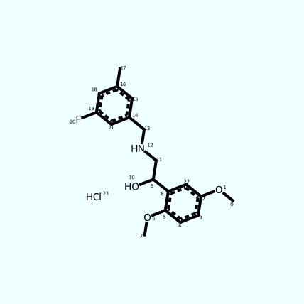 COc1ccc(OC)c(C(O)CNCc2cc(C)cc(F)c2)c1.Cl